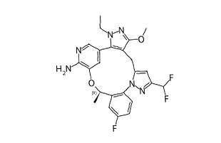 CCn1nc(OC)c2c1-c1cnc(N)c(c1)O[C@H](C)c1cc(F)ccc1-n1nc(C(F)F)cc1C2